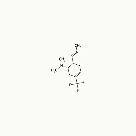 C/N=C/C1CC=C(C(F)(F)F)C[C@@H]1N(C)C